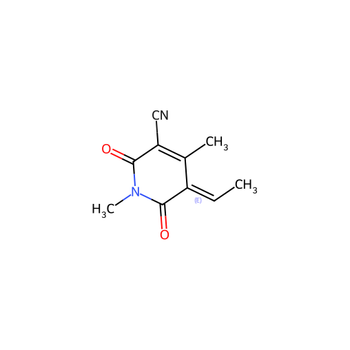 C/C=C1/C(=O)N(C)C(=O)C(C#N)=C1C